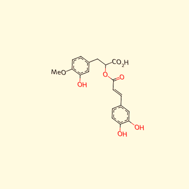 COc1ccc(CC(OC(=O)C=Cc2ccc(O)c(O)c2)C(=O)O)cc1O